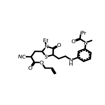 C=CCOC(=O)C(C#N)CC1SC(CCNc2cccc(N(C)C(=O)C(C)C)c2)C(=O)N1CC